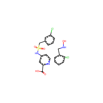 Cl.O=C(O)c1cc(NS(=O)(=O)Cc2cccc(Cl)c2)ccn1.ONCc1ccccc1